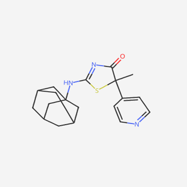 CC1(c2ccncc2)SC(NC23CC4CC(CC(C4)C2)C3)=NC1=O